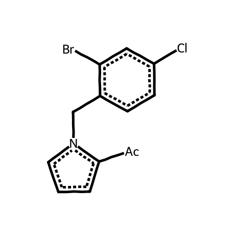 CC(=O)c1cccn1Cc1ccc(Cl)cc1Br